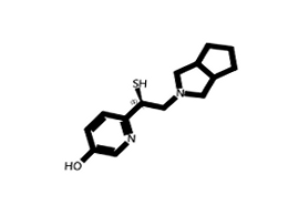 Oc1ccc([C@@H](S)CN2CC3CCCC3C2)nc1